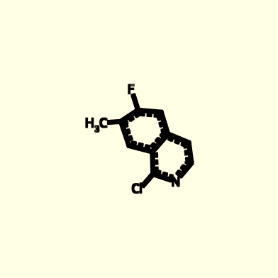 Cc1cc2c(Cl)nccc2cc1F